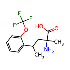 CC(CC(C)(N)C(=O)O)c1ccccc1OC(F)(F)F